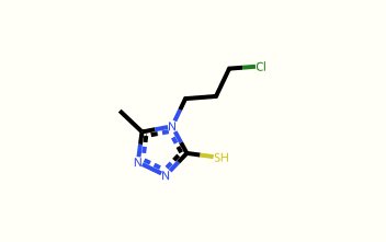 Cc1nnc(S)n1CCCCl